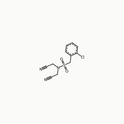 N#CCN(CC#N)S(=O)(=O)Cc1ccccc1Cl